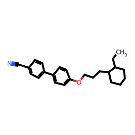 CCC1CCCCC1CCCOc1ccc(-c2ccc(C#N)cc2)cc1